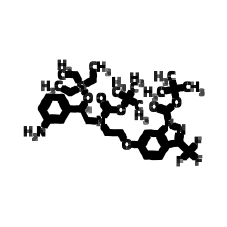 CC[Si](CC)(CC)O[C@@H](CN(CCOc1ccc2c(C(F)(F)F)nn(C(=O)OC(C)(C)C)c2c1)C(=O)OC(C)(C)C)c1cccc(N)c1